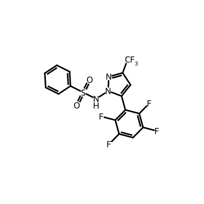 O=S(=O)(Nn1nc(C(F)(F)F)cc1-c1c(F)c(F)cc(F)c1F)c1ccccc1